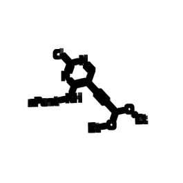 CCCCCNc1nc(Cl)ncc1C#CC(OCC)OCC